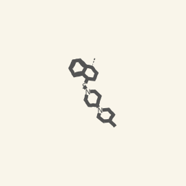 CC1CCN(C2CCN(SC3CC[C@@H](C)c4ccccc43)CC2)CC1